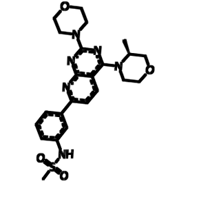 C[C@H]1COCCN1c1nc(N2CCOCC2)nc2nc(-c3cccc(NS(C)(=O)=O)c3)ccc12